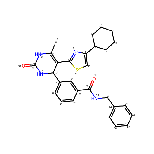 CCC1=C(c2nc(C3CCCCC3)cs2)C(c2cccc(C(=O)NCc3ccccc3)c2)NC(=O)N1